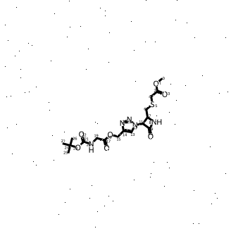 COC(=O)CSCC1NC(=O)C1n1cc(COC(=O)CNC(=O)OC(C)(C)C)nn1